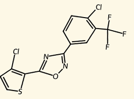 FC(F)(F)c1cc(-c2noc(-c3sccc3Cl)n2)ccc1Cl